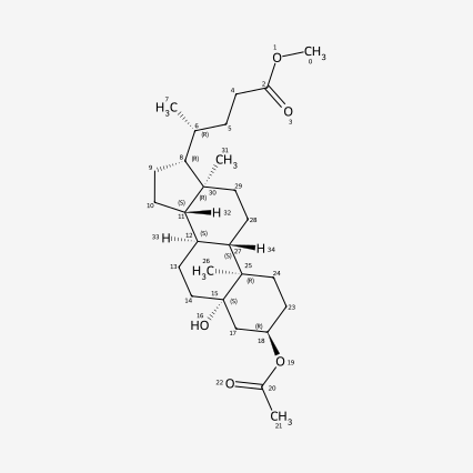 COC(=O)CC[C@@H](C)[C@H]1CC[C@H]2[C@@H]3CC[C@]4(O)C[C@H](OC(C)=O)CC[C@]4(C)[C@H]3CC[C@]12C